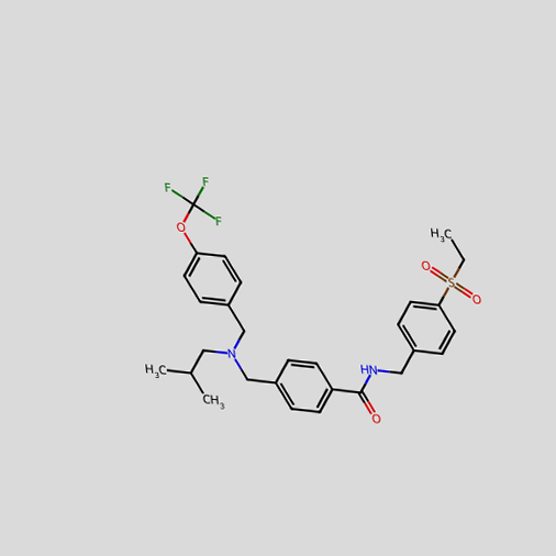 CCS(=O)(=O)c1ccc(CNC(=O)c2ccc(CN(Cc3ccc(OC(F)(F)F)cc3)CC(C)C)cc2)cc1